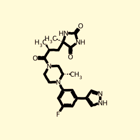 C[C@@H](C[C@@]1(C)NC(=O)NC1=O)C(=O)N1CCN(c2cc(F)cc(-c3cn[nH]c3)c2)[C@@H](C)C1